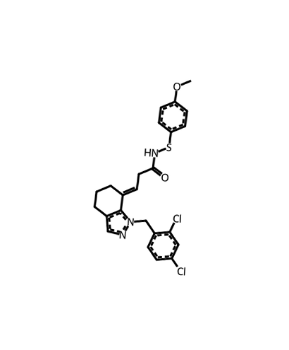 COc1ccc(SNC(=O)C/C=C2\CCCc3cnn(Cc4ccc(Cl)cc4Cl)c32)cc1